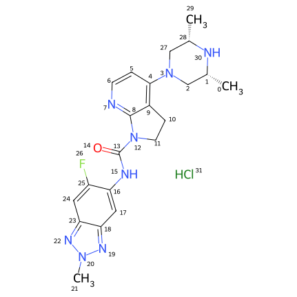 C[C@@H]1CN(c2ccnc3c2CCN3C(=O)Nc2cc3nn(C)nc3cc2F)C[C@H](C)N1.Cl